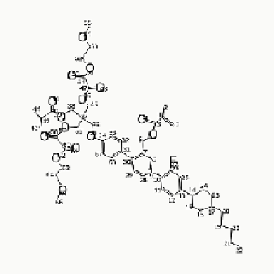 C=C(C)C(=O)OCc1cc(-c2ccc(C3CCC(CCCCC)CC3)cc2F)ccc1-c1ccc(OCC(COC(=O)C(=C)C)(COC(=O)C(=O)OCCOC)COC(=O)C(=O)OCCOC)cc1